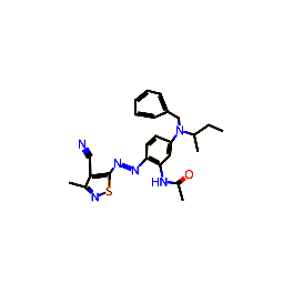 CCC(C)N(Cc1ccccc1)c1ccc(N=Nc2snc(C)c2C#N)c(NC(C)=O)c1